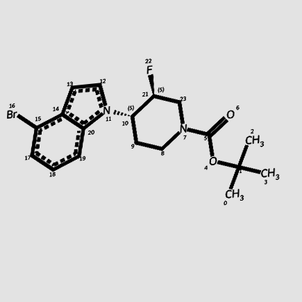 CC(C)(C)OC(=O)N1CC[C@H](n2ccc3c(Br)cccc32)[C@@H](F)C1